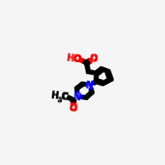 CC(=O)N1CCN(c2ccccc2CC(=O)O)CC1